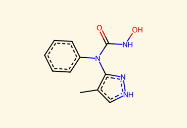 Cc1c[nH]nc1N(C(=O)NO)c1ccccc1